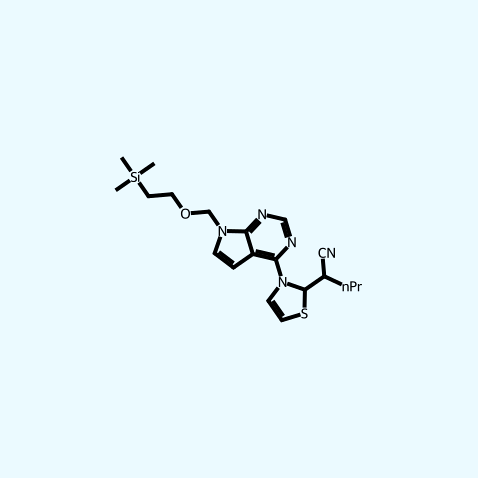 CCCC(C#N)C1SC=CN1c1ncnc2c1ccn2COCC[Si](C)(C)C